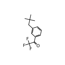 CC(C)(C)Cc1cccc(C(=O)C(F)(F)F)c1